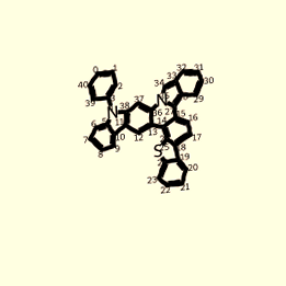 c1ccc(-n2c3ccccc3c3cc4c5c(ccc6c7ccccc7sc65)c5c6ccccc6cn5c4cc32)cc1